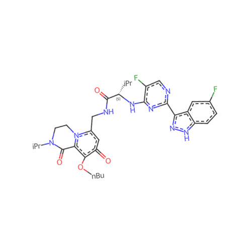 CCCCOc1c2n(c(CNC(=O)[C@@H](Nc3nc(-c4n[nH]c5ccc(F)cc45)ncc3F)C(C)C)cc1=O)CCN(C(C)C)C2=O